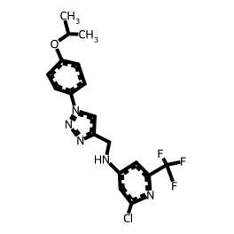 CC(C)Oc1ccc(-n2cc(CNc3cc(Cl)nc(C(F)(F)F)c3)nn2)cc1